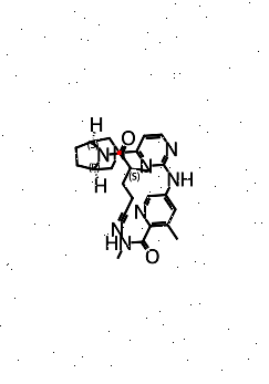 CNC(=O)c1ncc(Nc2nccc(N3C[C@H]4CC[C@@H](C3)N4C(=O)[C@@H](C)CCC#N)n2)cc1C